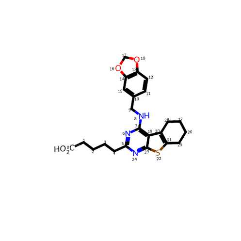 O=C(O)CCCCc1nc(NCc2ccc3c(c2)OCO3)c2c3c(sc2n1)CCCC3